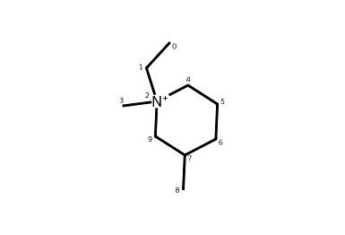 CC[N+]1(C)CCCC(C)C1